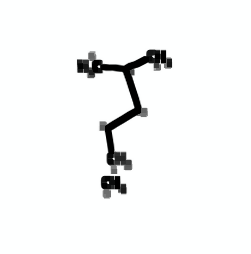 C.CC[CH]C(C)C